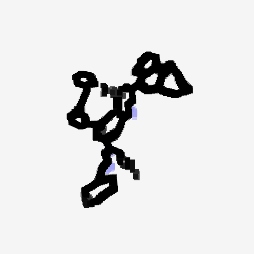 C=C/C(=C\C=C\C1C=NC=CC1)C1=CC(/C=C/CC(C=C)c2cc3ccccc3c3ccccc23)NC(C2=CC(C3C=CCCC3)=CCC2)=N1